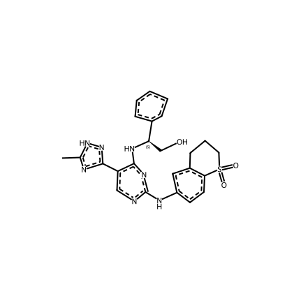 Cc1nc(-c2cnc(Nc3ccc4c(c3)CCCS4(=O)=O)nc2N[C@H](CO)c2ccccc2)n[nH]1